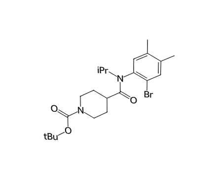 Cc1cc(Br)c(N(C(=O)C2CCN(C(=O)OC(C)(C)C)CC2)C(C)C)cc1C